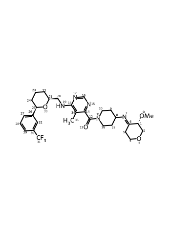 CO[C@@H]1COCC/C1=N\C1CCN(C(=O)c2ncnc(NC[C@@H]3CCC[C@H](c4cccc(C(F)(F)F)c4)O3)c2C)CC1